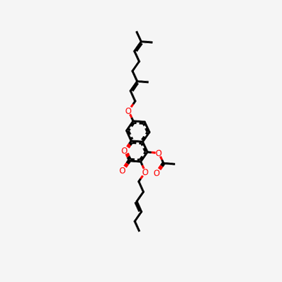 CC/C=C/CCOc1c(OC(C)=O)c2ccc(OC/C=C(\C)CCC=C(C)C)cc2oc1=O